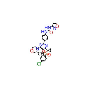 C[C@H]1COCCN1c1cc(C2(S(=O)(=O)c3ccc(Cl)cc3)CC2)nc(-c2ccc(NC(=O)Nc3ccon3)cc2)n1